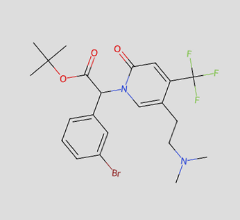 CN(C)CCc1cn(C(C(=O)OC(C)(C)C)c2cccc(Br)c2)c(=O)cc1C(F)(F)F